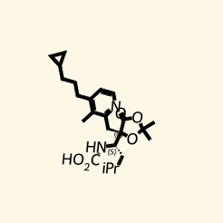 Cc1c(CCCC2CC2)ccnc1C[C@]1([C@H](CC(C)C)NC(=O)O)OC(C)(C)OC1=O